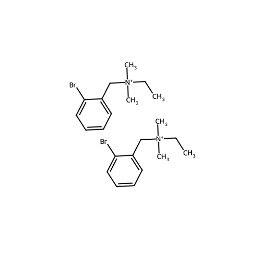 CC[N+](C)(C)Cc1ccccc1Br.CC[N+](C)(C)Cc1ccccc1Br